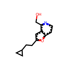 OCc1nccc2oc(CCC3CC3)cc12